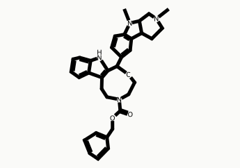 CN1CCC2c3cc(C4CCCN(C(=O)OCc5ccccc5)CCc5c4[nH]c4ccccc54)ccc3N(C)C2C1